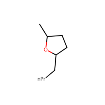 CCCCC1CCC(C)O1